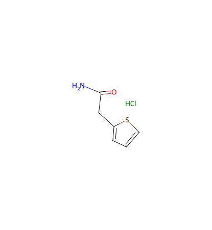 Cl.NC(=O)Cc1cccs1